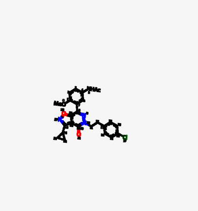 COc1ccc(NC(C)=O)cc1-c1nn(CCc2ccc(Cl)cc2)c(=O)c2c(C3CC3)noc12